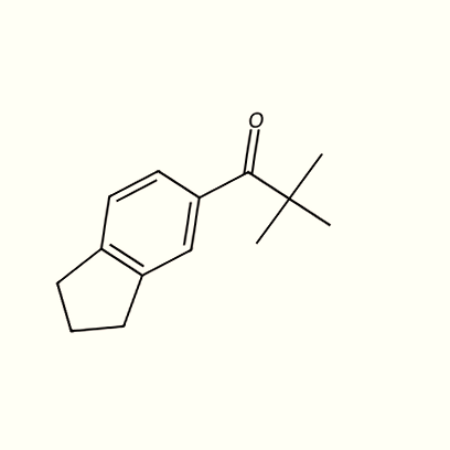 CC(C)(C)C(=O)c1ccc2c(c1)CCC2